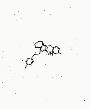 Cc1ccc(CCn2c3c(n(Cc4ccc(C)cc4)c2=N)=CCCC=3)cc1